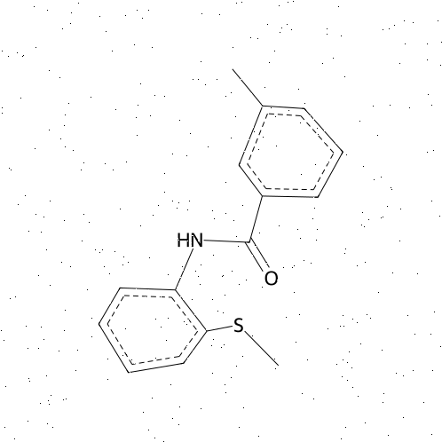 CSc1ccccc1NC(=O)c1cccc(C)c1